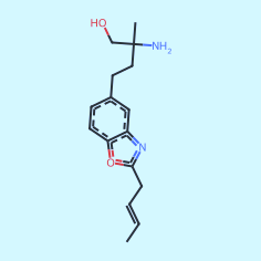 CC=CCc1nc2cc(CCC(C)(N)CO)ccc2o1